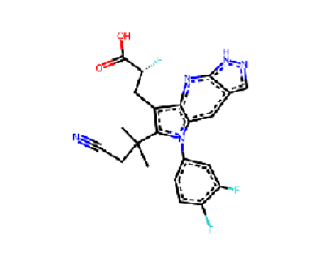 CC(C)(CC#N)c1c(C[C@@H](F)C(=O)O)c2nc3[nH]ncc3cc2n1-c1ccc(F)c(F)c1